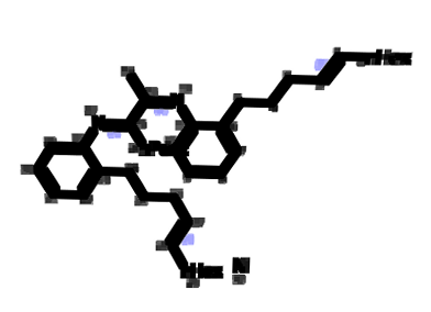 CCCCCC/C=C/CCCc1ccccc1/N=C(C)\C(CCCCC)=N\c1ccccc1CCC/C=C/CCCCCC.[Ni]